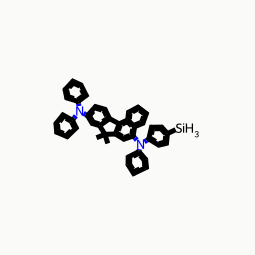 CC1(C)c2cc(N(c3ccccc3)c3ccccc3)ccc2-c2c1cc(N(c1ccccc1)c1ccc([SiH3])cc1)c1ccccc21